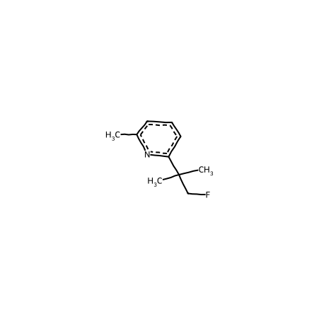 Cc1cccc(C(C)(C)CF)n1